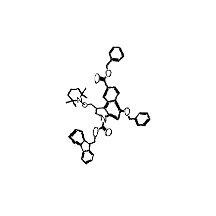 CC1(C)CCCC(C)(C)N1OCC1CN(C(=O)OCC2c3ccccc3-c3ccccc32)c2cc(OCc3ccccc3)c3ccc(C(=O)OCc4ccccc4)cc3c21